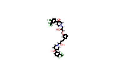 OC(CCc1cccc(OCC(O)CN2CCC(O)(c3ccc(Cl)c(C(F)(F)F)c3)CC2)c1)CN1CCC(O)(c2ccc(Cl)c(C(F)(F)F)c2)CC1